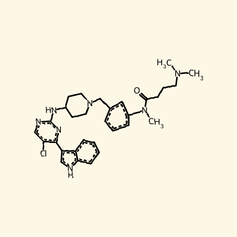 CN(C)CCCC(=O)N(C)c1cccc(CN2CCC(Nc3ncc(Cl)c(-c4c[nH]c5ccccc45)n3)CC2)c1